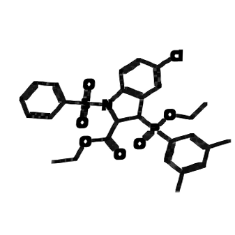 CCOC(=O)C1C(P(=O)(OCC)c2cc(C)cc(C)c2)c2cc(Cl)ccc2N1S(=O)(=O)c1ccccc1